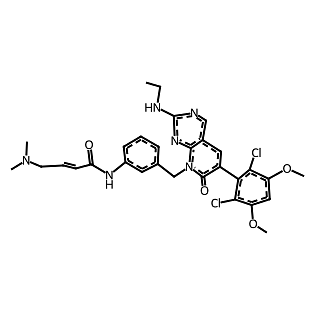 CCNc1ncc2cc(-c3c(Cl)c(OC)cc(OC)c3Cl)c(=O)n(Cc3cccc(NC(=O)/C=C/CN(C)C)c3)c2n1